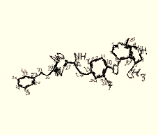 Cc1c[nH]c2nccc(Oc3ccc(C[C@H](N)c4nc(CCc5ccccc5)no4)cc3F)c12